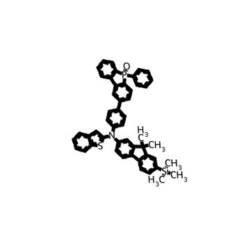 CC1(C)c2cc(N(c3ccc(-c4ccc5c(c4)-c4ccccc4P5(=O)c4ccccc4)cc3)c3cc4ccccc4s3)ccc2-c2ccc([Si](C)(C)C)cc21